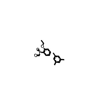 CCOc1ccccc1[P](=O)C=O.Cc1cc(C)cc(C)c1